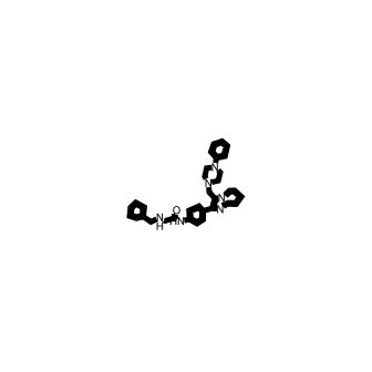 O=C(CNCc1ccccc1)Nc1ccc(-c2nc3ccccn3c2CN2CCN(c3ccccc3)CC2)cc1